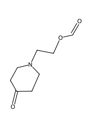 O=COCCN1CCC(=O)CC1